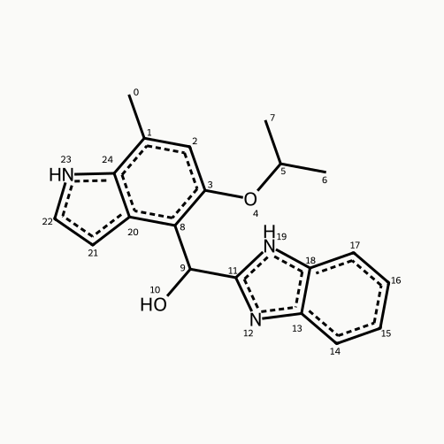 Cc1cc(OC(C)C)c(C(O)c2nc3ccccc3[nH]2)c2cc[nH]c12